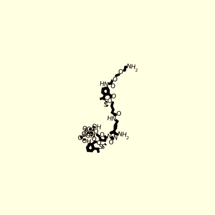 CSSC(C)c1ccc(NC(=O)COCCOCCN)cc1C(=O)OCCCCC(=O)NCC#Cc1cn([C@H]2C[C@@H](OC(=O)c3ccccc3C(C)SSC)C(COP(=O)(O)OP(=O)(O)OP(=O)(O)O)O2)c(=O)nc1N